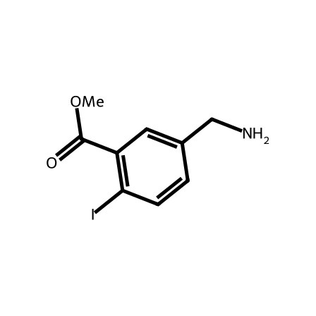 COC(=O)c1cc(CN)ccc1I